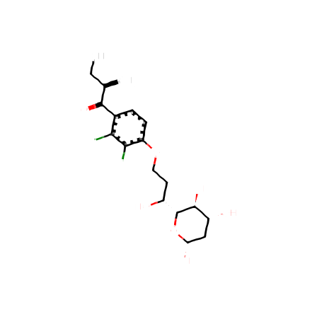 C=C(CC)C(=O)c1ccc(OCCC(O)[C@H]2O[C@@H](O)C[C@@H](O)[C@@H]2O)c(Cl)c1Cl